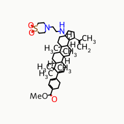 C=C(C)[C@@H]1CC[C@]2(NCCN3CCS(=O)(=O)CC3)CC[C@]3(C)[C@H](CC[C@@H]4[C@@]5(C)CC=C(C6=CC=C(C(=O)OC)CC6)C(C)(C)[C@@H]5CC[C@]43C)[C@@H]12